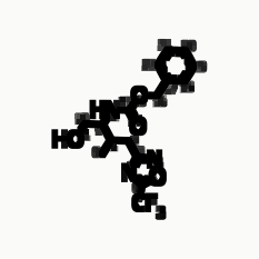 CC(Cc1noc(C(F)(F)F)n1)C(CO)NC(=O)OCc1ccccc1